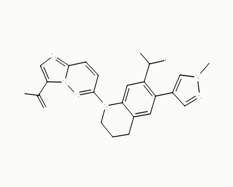 Cn1cc(-c2cc3c(cc2C(F)F)N(c2ccc4ncc(C(=O)O)n4n2)CCC3)cn1